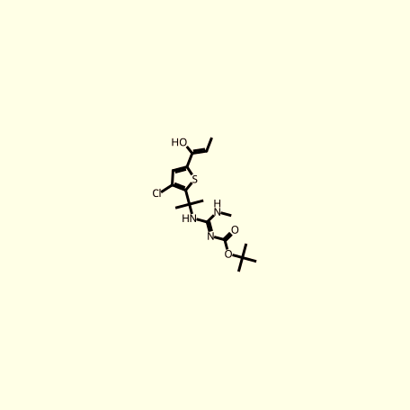 CC=C(O)c1cc(Cl)c(C(C)(C)N/C(=N/C(=O)OC(C)(C)C)NC)s1